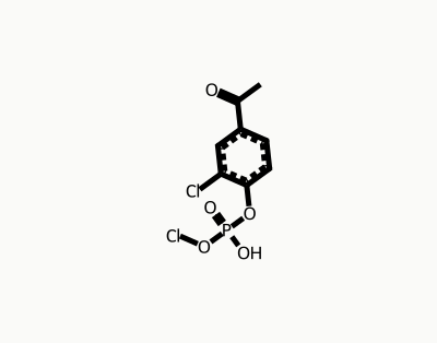 CC(=O)c1ccc(OP(=O)(O)OCl)c(Cl)c1